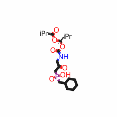 CC(C)C(=O)O[C@H](OC(=O)NCC(=O)CP(=O)(O)CC1CCCCC1)C(C)C